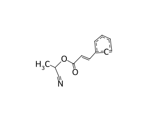 CC(C#N)OC(=O)C=Cc1ccccc1